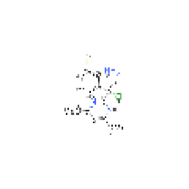 COc1cc(OC)nc(C(C)(Cl)c2cccc(F)c2N)n1